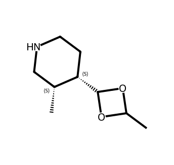 CC1OC([C@H]2CCNC[C@H]2C)O1